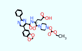 CCOC(=O)ON1CCN(C(=O)[C@H](CCC(=O)O)NC(=O)c2nc(-c3ccccc3)ncc2-c2ccc3c(c2)OCO3)CC1